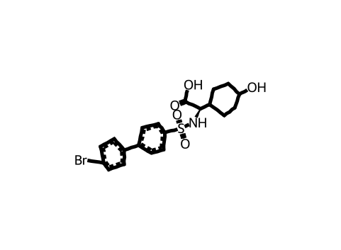 O=C(O)[C@H](NS(=O)(=O)c1ccc(-c2ccc(Br)cc2)cc1)C1CCC(O)CC1